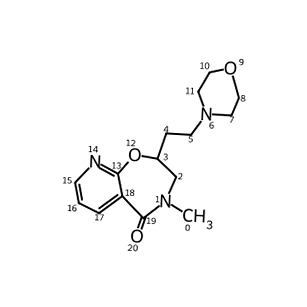 CN1CC(CCN2CCOCC2)Oc2ncccc2C1=O